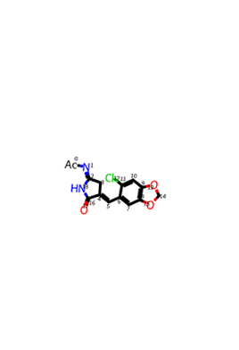 CC(=O)/N=C1/C/C(=C\c2cc3c(cc2Cl)OCO3)C(=O)N1